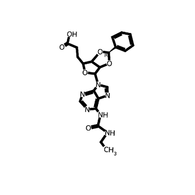 CCNC(=O)Nc1ncnc2c1ncn2C1OC(CCC(=O)O)C2O[C@@H](c3ccccc3)OC21